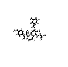 CC(=O)c1ccc(NC(=O)N2CCC(=O)N3[C@@H]2CN(CCc2cccc(F)c2)C(=O)[C@@H]3CC[S+](C)[O-])cc1